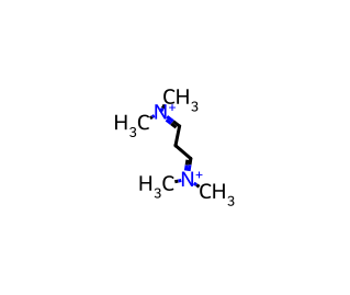 C[N+](C)=CCC=[N+](C)C